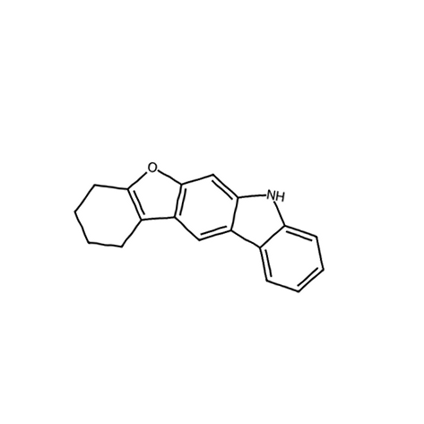 c1ccc2c(c1)[nH]c1cc3oc4c(c3cc12)CCCC4